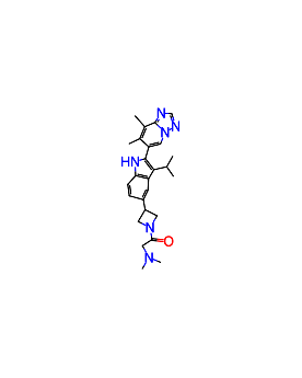 Cc1c(-c2[nH]c3ccc(C4CN(C(=O)CN(C)C)C4)cc3c2C(C)C)cn2ncnc2c1C